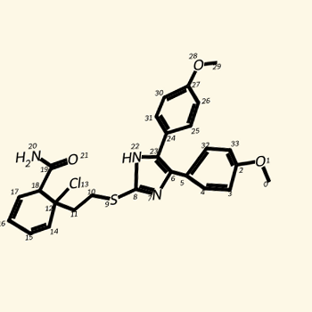 COc1ccc(-c2nc(SCCC3(Cl)C=CC=CC3C(N)=O)[nH]c2-c2ccc(OC)cc2)cc1